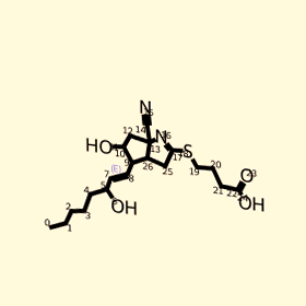 CCCCCC(O)/C=C/C1C(O)CC2(C#N)N=C(SCCCC(=O)O)CC12